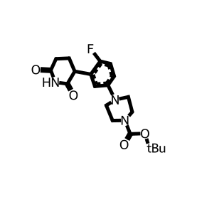 CC(C)(C)OC(=O)N1CCN(c2ccc(F)c(C3CCC(=O)NC3=O)c2)CC1